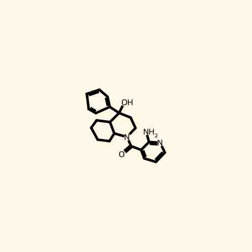 Nc1ncccc1C(=O)N1CCC(O)(c2ccccc2)C2CCCCC21